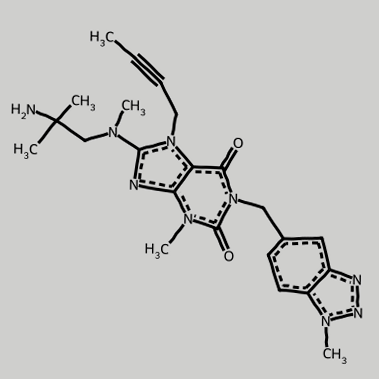 CC#CCn1c(N(C)CC(C)(C)N)nc2c1c(=O)n(Cc1ccc3c(c1)nnn3C)c(=O)n2C